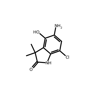 CC1(C)C(=O)Nc2c(Cl)cc(N)c(O)c21